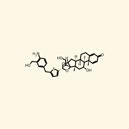 C[C@]12C=CC(=O)C=C1CC[C@H]1[C@@H]3C[C@H]4O[C@@H](c5ccc(Cc6ccc(N)c(CO)c6)s5)O[C@@]4(C(=O)CO)[C@@]3(C)C[C@H](O)[C@@]12F